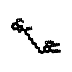 COc1cc(/C=C\CCC=CC=CCCC(O)c2cc3c(C)cccc3o2)cc(OC)c1OC